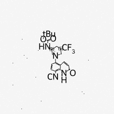 CC(C)(C)OC(=O)N[C@@H]1C[C@H](C(F)(F)F)CN(c2ccc(C#N)c3[nH]c(=O)ccc23)C1